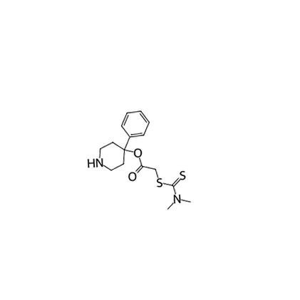 CN(C)C(=S)SCC(=O)OC1(c2ccccc2)CCNCC1